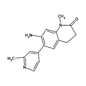 Cc1cc(-c2cc3c(cc2N)N(C)C(=O)CC3)ccn1